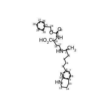 C=C(CCCCc1ccc2c(n1)NCCC2)NCCC(NC(=O)OCc1ccccc1)C(=O)O